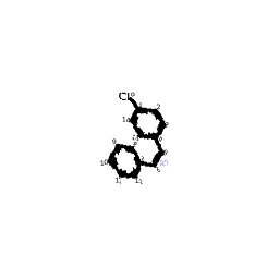 Clc1ccc(/C=C\c2cc[c]cc2)cc1